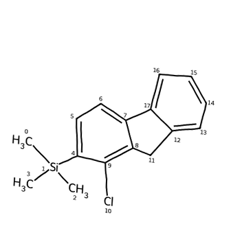 C[Si](C)(C)c1ccc2c(c1Cl)Cc1ccccc1-2